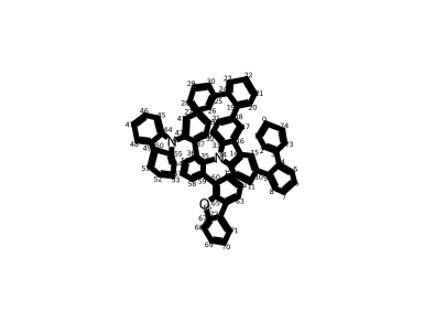 c1ccc(-c2ccccc2-c2ccc3c(c2)c2cc(-c4ccccc4-c4ccccc4)ccc2n3-c2c(-c3ccccc3-n3c4ccccc4c4ccccc43)cccc2-c2cccc3c2oc2ccccc23)cc1